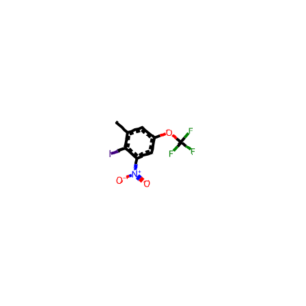 Cc1cc(OC(F)(F)F)cc([N+](=O)[O-])c1I